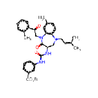 CCOC(=O)c1cccc(NC(=O)NC2CN(CC=C(C)C)c3ccc(C)cc3N(CC(=O)c3ccccc3C)C2=O)c1